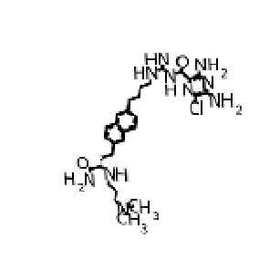 CN(C)CCCN[C@@H](CCc1ccc2cc(CCCCNC(=N)NC(=O)c3nc(Cl)c(N)nc3N)ccc2c1)C(N)=O